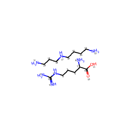 N=C(N)NCCCC(N)C(=O)O.NCCCCNCCCN